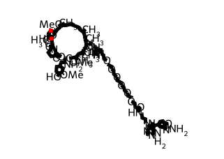 COC1C[C@@H]2CC[C@@H](C)[C@@](O)(O2)C(=O)C(=O)N2CCCCC2C(=O)OC([C@H](N)CC2CCC(O)[C@H](OC)C2)C[C@@H](OC)C(C)/C=C(\C)C(O)[C@@H](O)/C(=N\OCc2cn(CCOCCOCCOCCOCCOCCOCCC(=O)NCCCCn3nc(-c4ccc5oc(N)nc5c4)c4c(N)ncnc43)nn2)C(C)CC(C)/C=C/C=C/C=C/1C